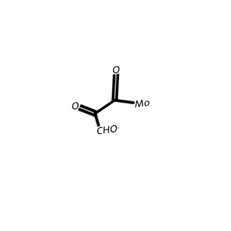 O=[C]C(=O)[C](=O)[Mo]